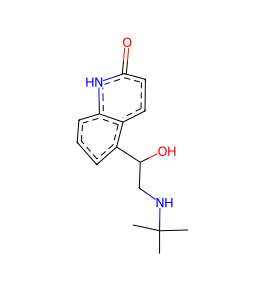 CC(C)(C)NCC(O)c1cccc2[nH]c(=O)ccc12